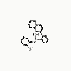 OC1=CC=CCC1=NC(O)c1cccnc1-c1ccc2ccccc2c1